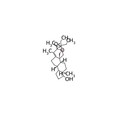 CC[Si](CC)(CC)OC[C@]12CCC(=O)C(C)=C1CC[C@@H]1[C@H]2CC[C@]2(C)C(O)CC[C@@H]12